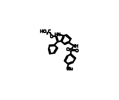 CC(C)(C)c1ccc(S(=O)(=O)Nc2ccc3[nH]c(OC(=O)O)c(-c4ccccc4)c3c2)cc1